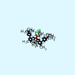 CCCCC1=Cc2c(-c3ccc(C(C)(C)C)cc3)cc(C)c(C)c2[CH]1[Zr+2]1([CH]2C(CCCC)=Cc3c(-c4ccc(C(C)(C)C)cc4)cc(C)c(C)c32)[CH2][CH2]1.[Cl-].[Cl-]